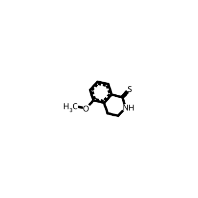 COc1cccc2c1CCNC2=S